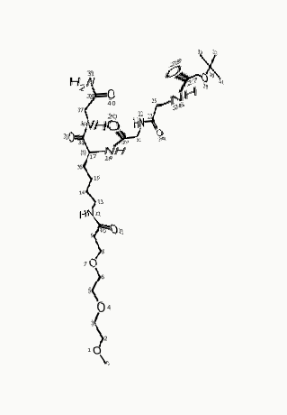 COCCOCCOCCC(=O)NCCCC[C@H](NC(=O)CNC(=O)CNC(=O)OC(C)(C)C)C(=O)NCC(N)=O